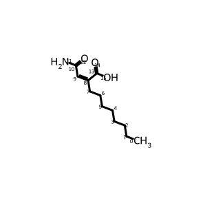 CCCCCCCC/C(=C/C(N)=O)C(=O)O